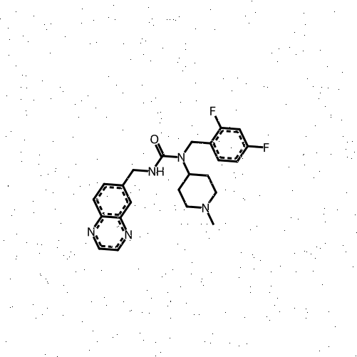 CN1CCC(N(Cc2ccc(F)cc2F)C(=O)NCc2ccc3nccnc3c2)CC1